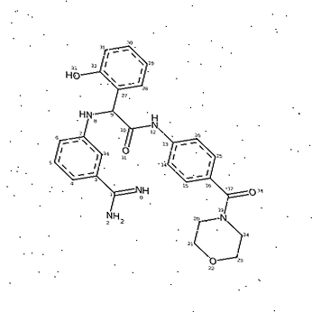 N=C(N)c1cccc(NC(C(=O)Nc2ccc(C(=O)N3CCOCC3)cc2)c2ccccc2O)c1